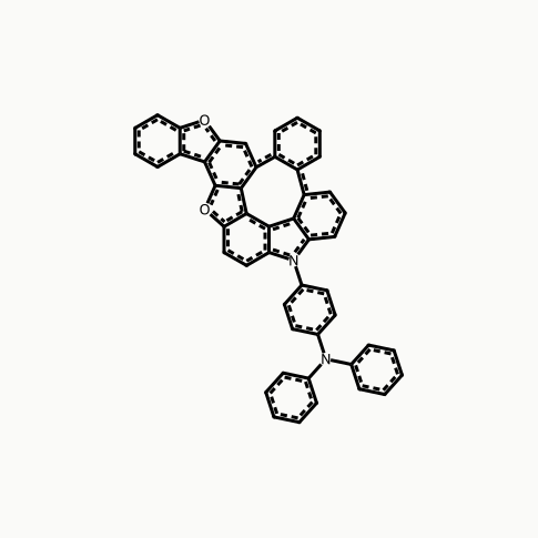 c1ccc(N(c2ccccc2)c2ccc(-n3c4cccc5c6ccccc6c6cc7oc8ccccc8c7c7oc8ccc3c(c8c67)c54)cc2)cc1